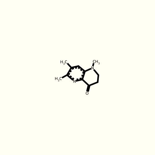 Cc1cc2c(nc1C)C(=O)CCN2C